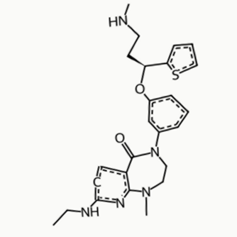 CCNc1ccc2c(n1)N(C)CCN(c1cccc(O[C@@H](CCNC)c3cccs3)c1)C2=O